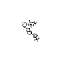 O=C(N[C@H]1COCC[C@@H]1N1Cc2ccc(-c3noc(C(F)(F)F)n3)cc2C1=O)C1CC1(F)F